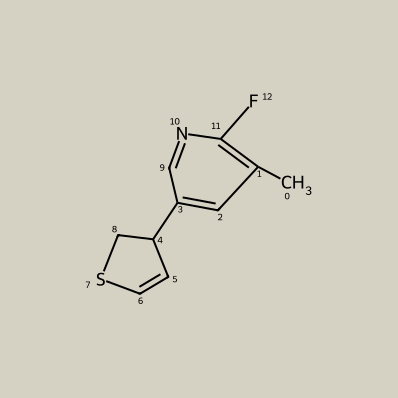 Cc1cc(C2C=CSC2)cnc1F